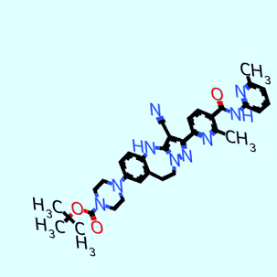 Cc1cccc(NC(=O)c2ccc(-c3nn4c(c3C#N)Nc3ccc(N5CCN(C(=O)OC(C)(C)C)CC5)cc3CC4)nc2C)n1